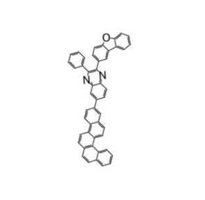 c1ccc(-c2nc3cc(-c4ccc5c(ccc6c5ccc5ccc7ccccc7c56)c4)ccc3nc2-c2ccc3oc4ccccc4c3c2)cc1